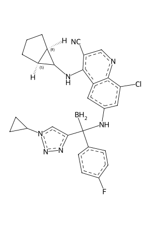 BC(Nc1cc(Cl)c2ncc(C#N)c(NC3[C@H]4CCC[C@@H]34)c2c1)(c1ccc(F)cc1)c1cn(C2CC2)nn1